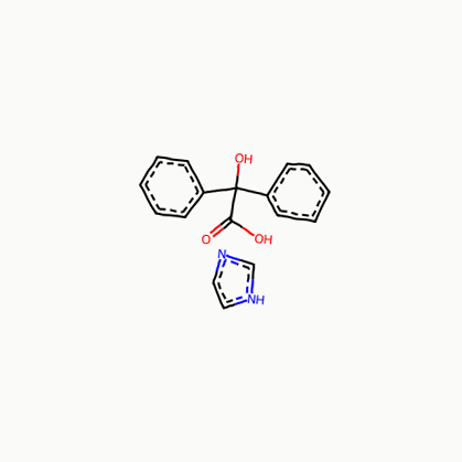 O=C(O)C(O)(c1ccccc1)c1ccccc1.c1c[nH]cn1